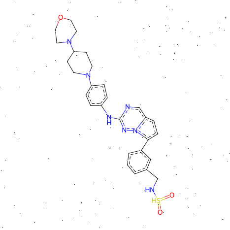 O=[SH](=O)NCc1cccc(-c2ccc3cnc(Nc4ccc(N5CCC(N6CCOCC6)CC5)cc4)nn23)c1